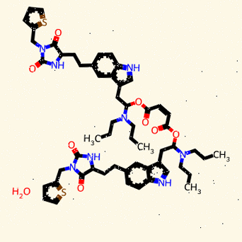 CCCN(CCC)C(Cc1c[nH]c2ccc(CCC3NC(=O)N(Cc4cccs4)C3=O)cc12)OC(=O)/C=C\C(=O)OC(Cc1c[nH]c2ccc(CCC3NC(=O)N(Cc4cccs4)C3=O)cc12)N(CCC)CCC.O